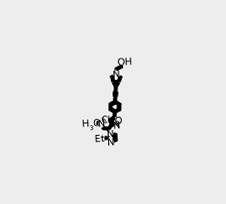 CCc1nccn1C(CN(C)C)c1cc(-c2ccc(C#CC3C4CN(CCO)CC34)cc2)on1